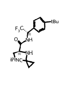 CC(C)C[C@H](NC1(C#N)CC1)C(=O)N[C@@H](c1ccc(C(C)(C)C)cc1)C(F)(F)F